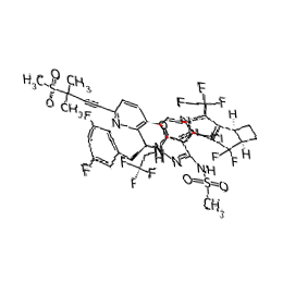 CC(C)(C#Cc1ccc(-c2ccc(Cl)c3c(NS(C)(=O)=O)nn(CC(F)(F)F)c23)c([C@H](Cc2cc(F)cc(F)c2)NC(=O)Cn2nc(C(F)(F)F)c3c2C(F)(F)[C@@H]2CC[C@H]32)n1)S(C)(=O)=O